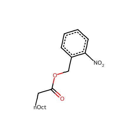 CCCCCCCCCC(=O)OCc1ccccc1[N+](=O)[O-]